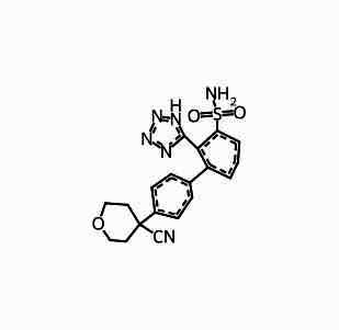 N#CC1(c2ccc(-c3cccc(S(N)(=O)=O)c3-c3nnn[nH]3)cc2)CCOCC1